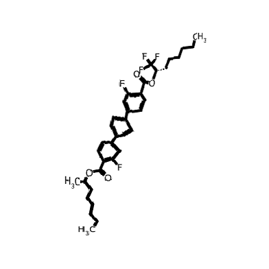 CCCCCC[C@@H](C)OC(=O)c1ccc(-c2ccc(-c3ccc(C(=O)O[C@@H](CCCCCC)C(F)(F)F)c(F)c3)cc2)cc1F